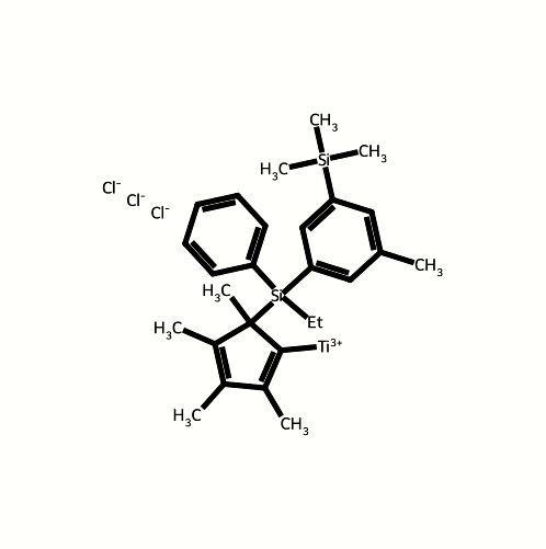 CC[Si](c1ccccc1)(c1cc(C)cc([Si](C)(C)C)c1)C1(C)C(C)=C(C)C(C)=[C]1[Ti+3].[Cl-].[Cl-].[Cl-]